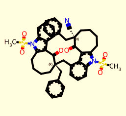 CS(=O)(=O)n1c2c(c3ccccc31)C(=O)[C@](Cc1ccccc1)(Cc1cccc3c1c1c(n3S(C)(=O)=O)CCCC[C@](C#N)(Cc3ccccc3)C1=O)CCCC2